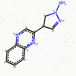 NN1CC(c2cnc3ccccc3n2)C=N1